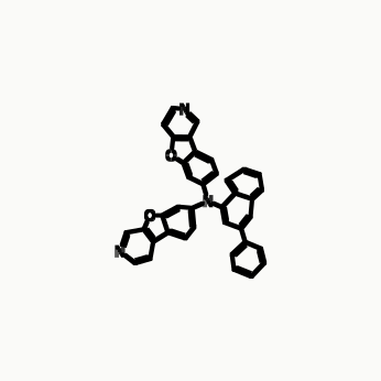 c1ccc(-c2cc(N(c3ccc4c(c3)oc3cnccc34)c3ccc4c(c3)oc3ccncc34)c3ccccc3c2)cc1